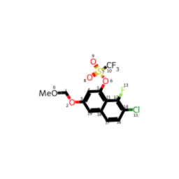 COCOc1cc(OS(=O)(=O)C(F)(F)F)c2c(F)c(Cl)ccc2c1